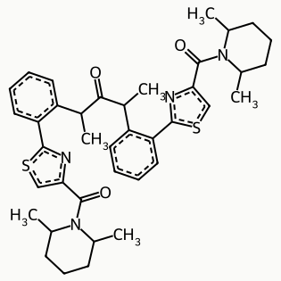 CC(C(=O)C(C)c1ccccc1-c1nc(C(=O)N2C(C)CCCC2C)cs1)c1ccccc1-c1nc(C(=O)N2C(C)CCCC2C)cs1